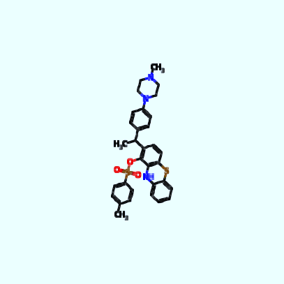 Cc1ccc(S(=O)(=O)Oc2c(C(C)c3ccc(N4CCN(C)CC4)cc3)ccc3c2Nc2ccccc2S3)cc1